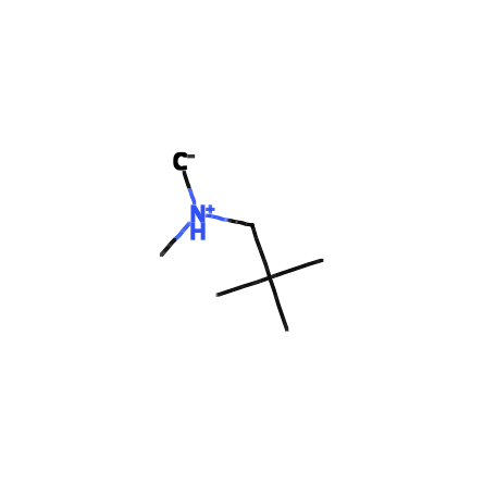 [CH2-][NH+](C)CC(C)(C)C